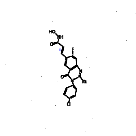 CCc1nc2cc(F)c(/C=C/C(=O)NO)cc2c(=O)n1-c1ccc(Cl)cc1